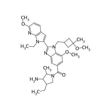 CCC1CN(C(=O)c2cc(OC)c3c(c2)nc(-c2cc4ccc(OC)nc4n2CC)n3CC2CC(C)(OC)C2)C(C)C1N